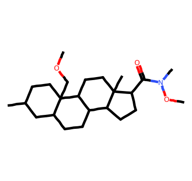 COCC12CCC(C)CC1CCC1C3CCC(C(=O)N(C)OC)C3(C)CCC12